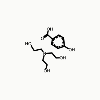 O=C(O)c1ccc(O)cc1.OCCN(CCO)CCO